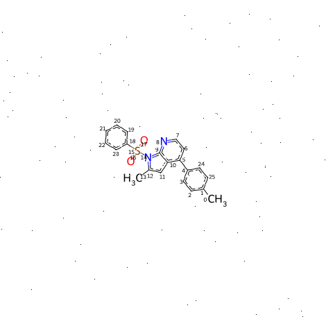 Cc1ccc(-c2ccnc3c2cc(C)n3S(=O)(=O)c2ccccc2)cc1